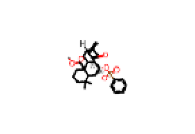 C=C1C(=O)[C@]23CC[C@H]1CC2C1(C(=O)OC)CCCC(C)(C)C1C[C@H]3OS(=O)(=O)c1ccccc1